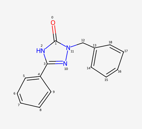 O=c1[nH]c(-c2ccccc2)nn1Cc1ccccc1